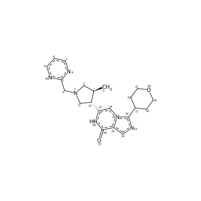 C[C@@H]1CN(Cc2ncccn2)C[C@H]1c1cn2c(C3CCOCC3)ncc2c(=O)[nH]1